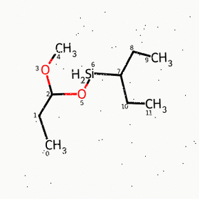 CCC(OC)O[SiH2]C(CC)CC